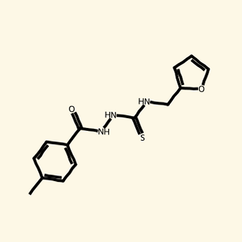 Cc1ccc(C(=O)NNC(=S)NCc2ccco2)cc1